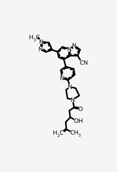 C=C(C)CC(O)CC(=O)N1CCN(c2ccc(-c3cc(-c4cnn(C)c4)cn4ncc(C#N)c34)cn2)CC1